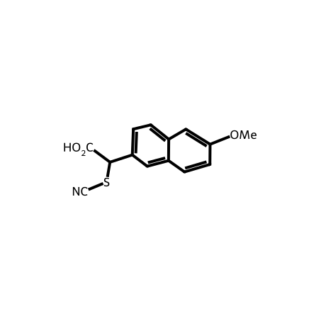 COc1ccc2cc(C(SC#N)C(=O)O)ccc2c1